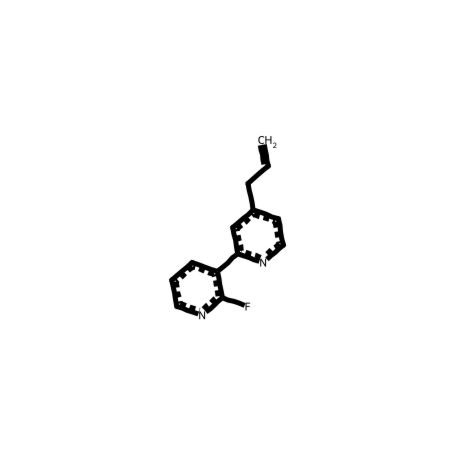 C=CCc1ccnc(-c2cccnc2F)c1